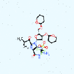 CC(C)C(=O)c1nc2c(=O)[nH]c(N)nc2n1[C@@H]1O[C@H](COC2CCCCO2)[C@@H](OC2CCCCO2)[C@@H]1OS(=O)(=O)C(F)(F)F